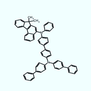 CC1(C)c2ccccc2-c2c1cc(N(c1ccccc1)c1ccc(-c3ccc(N(c4ccc(-c5ccccc5)cc4)c4ccc(-c5ccccc5)cc4)cc3)cc1)c1ccccc21